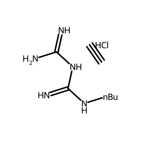 C#C.CCCCNC(=N)NC(=N)N.Cl